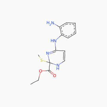 CCOC(=O)C1(SC)N=C(Nc2ccccc2N)C=CN1